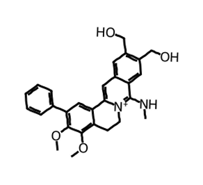 CNc1c2cc(CO)c(CO)cc2cc2[n+]1CCc1c-2cc(-c2ccccc2)c(OC)c1OC